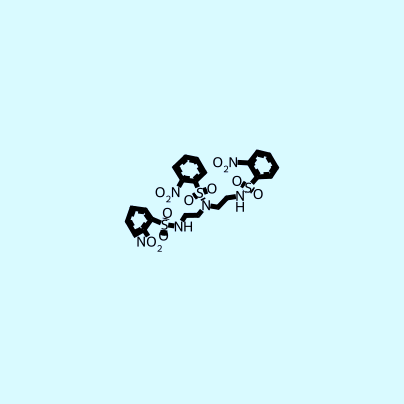 O=[N+]([O-])c1ccccc1S(=O)(=O)NCCN(CCNS(=O)(=O)c1ccccc1[N+](=O)[O-])S(=O)(=O)c1ccccc1[N+](=O)[O-]